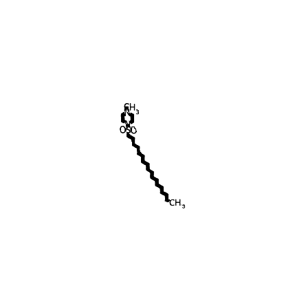 CCCCCCCCCCCCCCCCCCS(=O)(=O)N1CCN(C)CC1